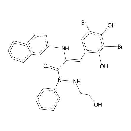 O=C(C(=Cc1cc(Br)c(O)c(Br)c1O)Nc1ccc2ccccc2c1)N(NCCO)c1ccccc1